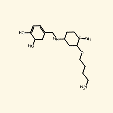 NCCCCOC1CC(NCC2=CC=C(O)C(O)C2)CC[C@H]1O